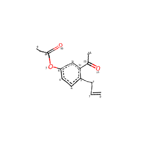 C=CCc1ccc(OC(C)=O)cc1C(C)=O